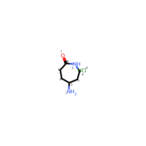 Cl.NC1CCNC(=O)CC1